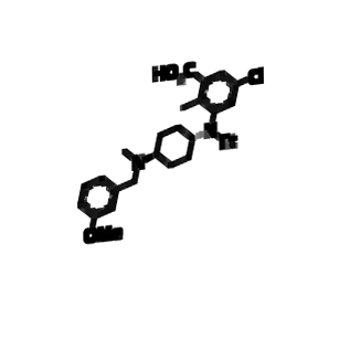 CCN(c1cc(Cl)cc(C(=O)O)c1C)[C@H]1CC[C@H](N(C)Cc2cccc(OC)c2)CC1